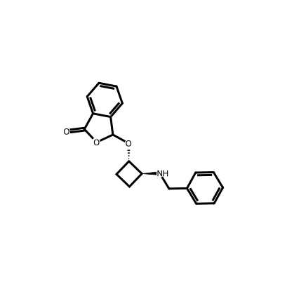 O=C1OC(O[C@H]2CC[C@@H]2NCc2ccccc2)c2ccccc21